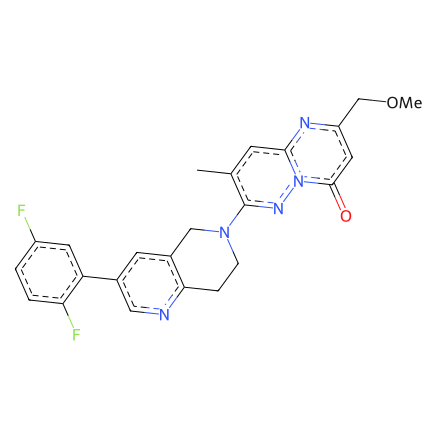 COCc1cc(=O)n2nc(N3CCc4ncc(-c5cc(F)ccc5F)cc4C3)c(C)cc2n1